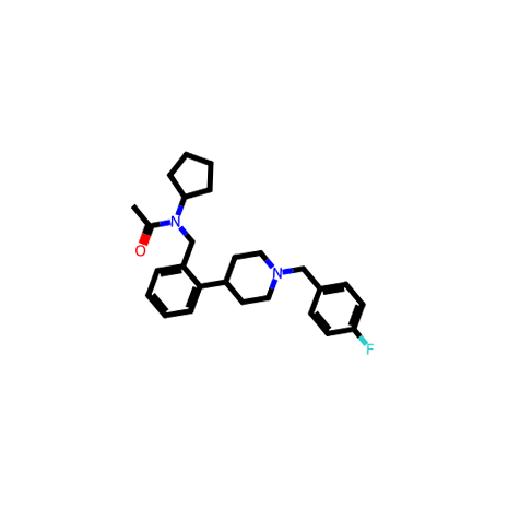 CC(=O)N(Cc1ccccc1C1CCN(Cc2ccc(F)cc2)CC1)C1CCCC1